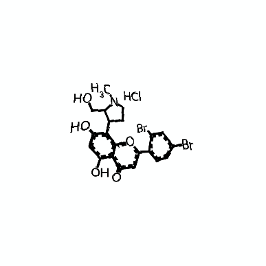 CN1CCC(c2c(O)cc(O)c3c(=O)cc(-c4ccc(Br)cc4Br)oc23)C1CO.Cl